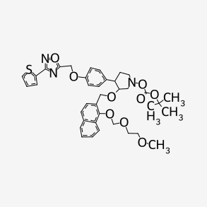 COCCOCOc1c(COC2CN(OC(=O)OC(C)(C)C)CCC2c2ccc(OCc3nc(-c4cccs4)no3)cc2)ccc2ccccc12